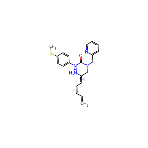 C=C/C=C\C=C(/N)CN(Cc1ccccn1)C(=O)Nc1ccc(SC(F)(F)F)cc1